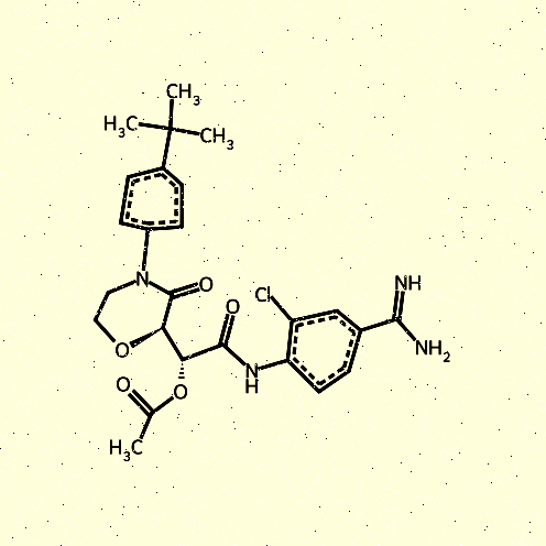 CC(=O)O[C@@H](C(=O)Nc1ccc(C(=N)N)cc1Cl)[C@H]1OCCN(c2ccc(C(C)(C)C)cc2)C1=O